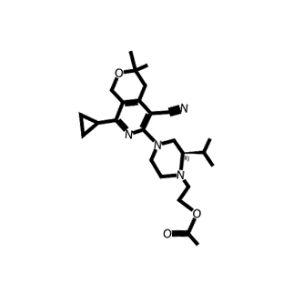 CC(=O)OCCN1CCN(c2nc(C3CC3)c3c(c2C#N)CC(C)(C)OC3)C[C@H]1C(C)C